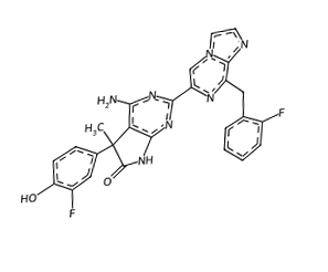 CC1(c2ccc(O)c(F)c2)C(=O)Nc2nc(-c3cn4ccnc4c(Cc4ccccc4F)n3)nc(N)c21